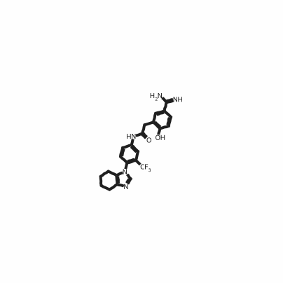 N=C(N)c1ccc(O)c(CC(=O)Nc2ccc(-n3cnc4c3CCCC4)c(C(F)(F)F)c2)c1